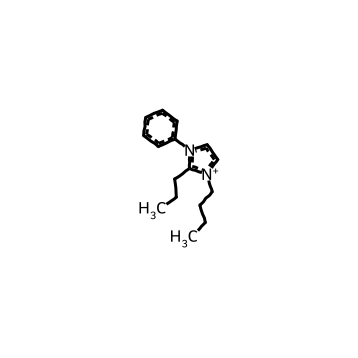 CCCC[n+]1ccn(-c2ccccc2)c1CCC